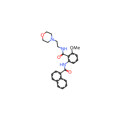 COc1cccc(NC(=O)c2cccc3ccccc23)c1C(=O)NCCN1CCOCC1